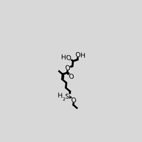 CCO[SiH2]CCCC=C(C)C(=O)OCC(O)CO